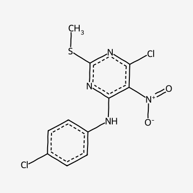 CSc1nc(Cl)c([N+](=O)[O-])c(Nc2ccc(Cl)cc2)n1